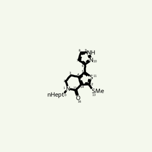 CCCCCCCN1CCc2c(-c3cc[nH]n3)sc(SC)c2C1=O